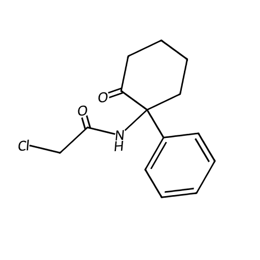 O=C(CCl)NC1(c2ccccc2)CCCCC1=O